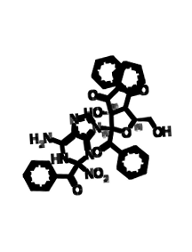 NC1=c2ncn([C@]3(C(=O)c4ccccc4)O[C@H](CO)C(C(=O)c4ccccc4)[C@]3(O)C(=O)c3ccccc3)c2=NC(C(=O)c2ccccc2)([N+](=O)[O-])N1